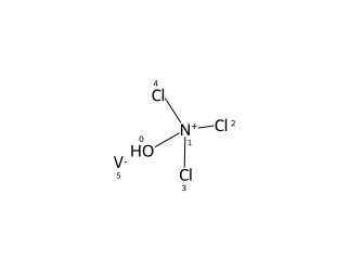 O[N+](Cl)(Cl)Cl.[V]